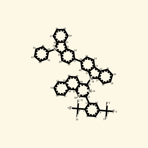 FC(F)(F)c1ccc(C(F)(F)F)c(-c2nc(-n3c4ccccc4c4ccc(-c5ccc6c(c5)c5ccccc5n6-c5ccccc5)cc43)c3ccc4ccccc4c3n2)c1